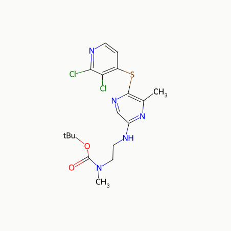 Cc1nc(NCCN(C)C(=O)OC(C)(C)C)cnc1Sc1ccnc(Cl)c1Cl